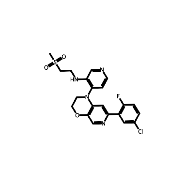 CS(=O)(=O)CCNc1cnccc1N1CCOc2cnc(-c3cc(Cl)ccc3F)cc21